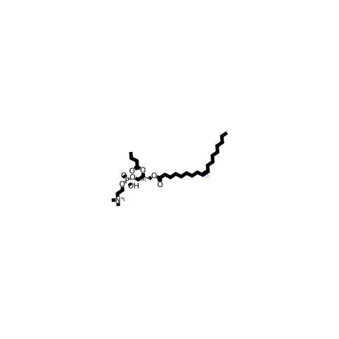 CCCCCCCC/C=C\CCCCCCCC(=O)OC[C@H](COP(=O)(O)OCC[N+](C)(C)C)OC(=O)CCC